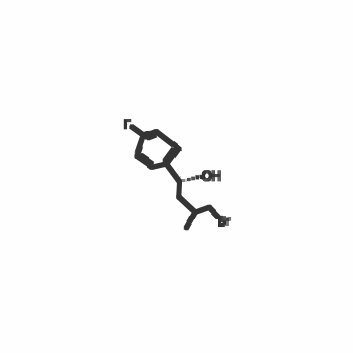 CC(CBr)C[C@@H](O)c1ccc(F)cc1